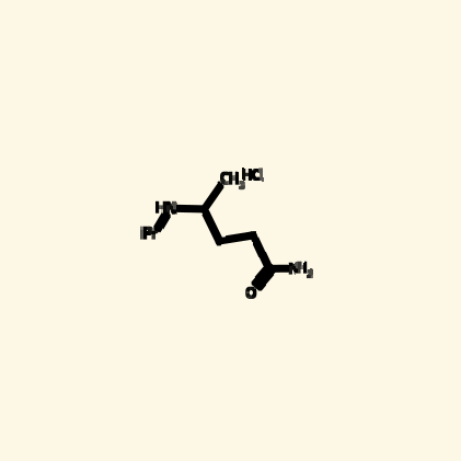 CC(C)NC(C)CCC(N)=O.Cl